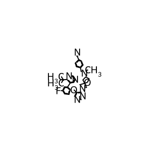 CC(C)c1ncncc1-c1cc(F)ccc1Oc1cncnc1N1CC2(CC(N(C)Cc3ccc(C#N)cc3)CO2)C1